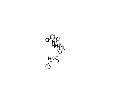 O=C(C=Cc1cc2ncnc(NC(=O)Nc3c(Cl)cccc3Cl)c2s1)NCCN1CCCCC1